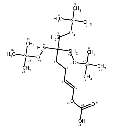 C[Si](C)(C)O[SiH2]C(CCC=COC(=O)O)([SiH2]O[Si](C)(C)C)[SiH2]O[Si](C)(C)C